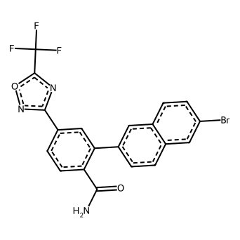 NC(=O)c1ccc(-c2noc(C(F)(F)F)n2)cc1-c1ccc2cc(Br)ccc2c1